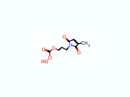 CC1=CC(=O)N(CCCOC(=O)OO)C1=O